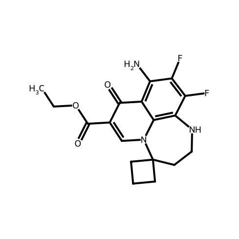 CCOC(=O)c1cn2c3c(c(F)c(F)c(N)c3c1=O)NCCC21CCC1